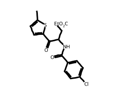 CCOC(=O)CC(NC(=O)c1ccc(Cl)cc1)C(=O)c1ccc(C)s1